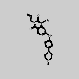 C=CCn1c(=O)c2cnc(Nc3ccc(N4CCN(C)CC4)cc3)nc2n(C(C)C)c1=O